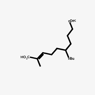 CCCCCCCCCCCCCC(CCC=C(C)C(=O)O)CCCC